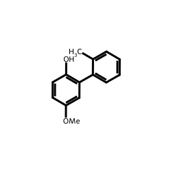 COc1ccc(O)c(-c2ccccc2C)c1